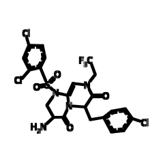 NC1CN(S(=O)(=O)c2ccc(Cl)cc2Cl)C2=CN(CC(F)(F)F)C(=O)C(Cc3ccc(Cl)cc3)N2C1=O